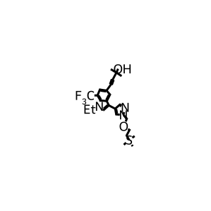 CCn1cc(-c2cnn(COCCS(C)(C)C)c2)c2cc(C#CC(C)(C)O)cc(C(F)(F)F)c21